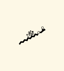 CCCCCCCC(CCCOCC1CO1)[Si](OC)(OC)OC